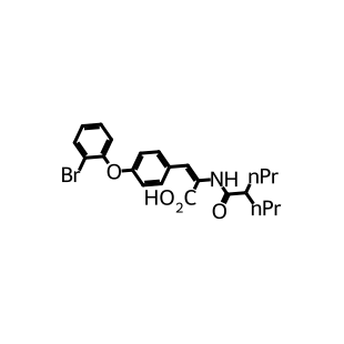 CCCC(CCC)C(=O)N/C(=C/c1ccc(Oc2ccccc2Br)cc1)C(=O)O